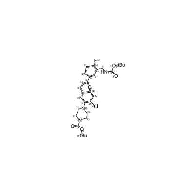 CC(C)(C)OC(=O)NCc1cc(-c2ccc3nc(N4CCN(C(=O)OC(C)(C)C)CC4)c(Cl)cc3c2)ccc1F